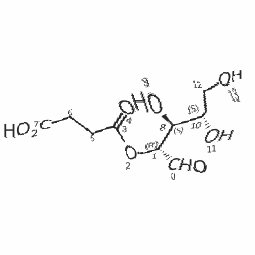 O=C[C@H](OC(=O)CCC(=O)O)[C@@H](O)[C@@H](O)CO